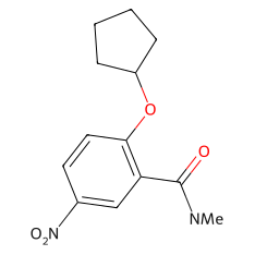 CNC(=O)c1cc([N+](=O)[O-])ccc1OC1CCCC1